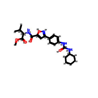 COC(=O)[C@@H](NC(=O)c1cc(-c2ccc(NC(=O)NC3CCCCC3)cc2)no1)C(C)C